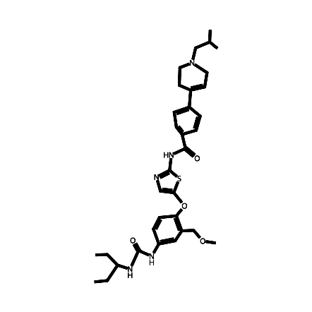 CCC(CC)NC(=O)Nc1ccc(Oc2cnc(NC(=O)c3ccc(C4=CCN(CC(C)C)CC4)cc3)s2)c(COC)c1